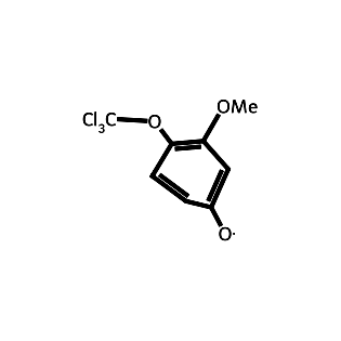 COc1cc([O])ccc1OC(Cl)(Cl)Cl